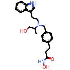 CC(CO)N(CCc1c[nH]c2ccccc12)Cc1ccc(CCC(=O)NO)cc1